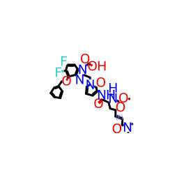 COC(=O)NC(CC/C=C/C(=O)N(C)C)C(=O)Nc1cccn(Cc2nc3c(OCc4ccccc4)c(F)c(F)cc3n2C(=O)O)c1=O